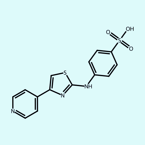 O=S(=O)(O)c1ccc(Nc2nc(-c3ccncc3)cs2)cc1